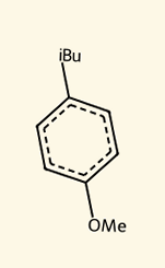 [CH2]C(CC)c1ccc(OC)cc1